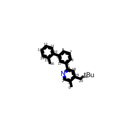 Cc1cnc(-c2cccc(-c3ccccc3C)c2)cc1CC(C)(C)C